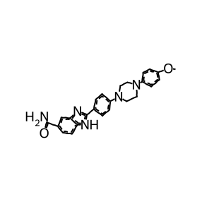 COc1ccc(N2CCN(c3ccc(-c4nc5cc(C(N)=O)ccc5[nH]4)cc3)CC2)cc1